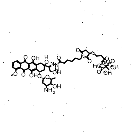 COc1cccc2c1C(=O)c1c(O)c3c(c(O)c1C2=O)CC(O)(/C(CO)=N/NC(=O)CCCCCN1C(=O)CC(SCCC(=O)OC(C)(P(=O)(O)O)P(=O)(O)O)C1=O)C[C@H]3O[C@@H]1CC(N)C(O)C(C)O1